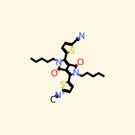 [C-]#[N+]c1ccc(C2=C3C(=O)N(CCCCC)C(c4ccc(C#N)s4)=C3C(=O)N2CCCCC)s1